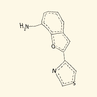 Nc1cccc2cc(-c3cscn3)oc12